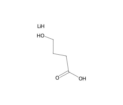 O=C(O)CCCO.[LiH]